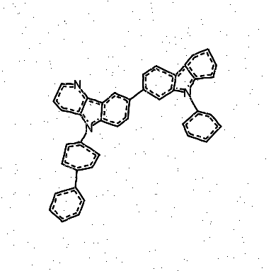 c1ccc(-c2ccc(-n3c4ccc(-c5ccc6c7ccccc7n(-c7ccccc7)c6c5)cc4c4ncccc43)cc2)cc1